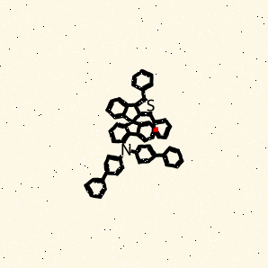 c1ccc(-c2ccc(N(c3ccc(-c4ccccc4)cc3)c3cccc4c3-c3ccccc3C43c4ccccc4-c4c(-c5ccccc5)sc(-c5ccccc5)c43)cc2)cc1